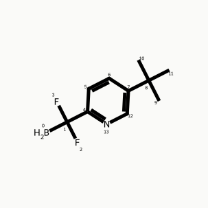 BC(F)(F)c1ccc(C(C)(C)C)cn1